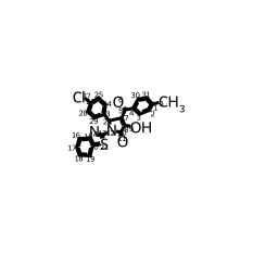 Cc1ccc(C(=O)C2=C(O)C(=O)N(c3nc4ccccc4s3)C2c2ccc(Cl)cc2)cc1